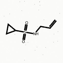 C=CCNS(=O)(=O)C1CC1